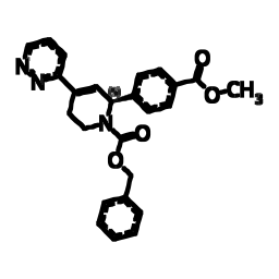 COC(=O)c1ccc([C@@H]2C=C(c3cccnn3)CCN2C(=O)OCc2ccccc2)cc1